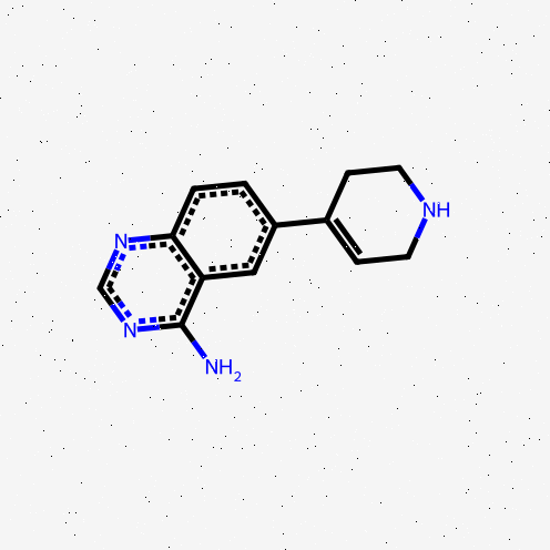 Nc1ncnc2ccc(C3=CCNCC3)cc12